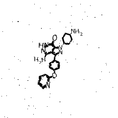 Nc1n[nH]c(=O)c2c1c(-c1ccc(Oc3ccccn3)cc1)nn2[C@H]1CC[C@@H](N)CC1